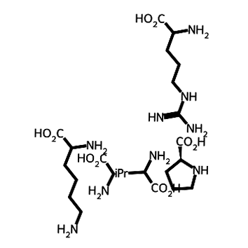 CC(C)C(N)C(=O)O.N=C(N)NCCCC(N)C(=O)O.NCC(=O)O.NCCCCC(N)C(=O)O.O=C(O)[C@@H]1CCCN1